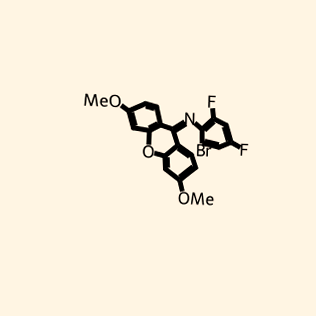 COc1ccc2c(=Nc3c(F)cc(F)cc3Br)c3ccc(OC)cc3oc2c1